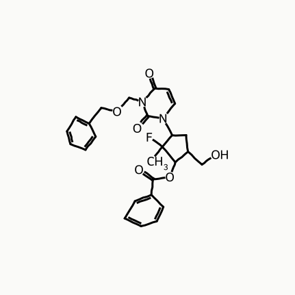 CC1(F)C(OC(=O)c2ccccc2)C(CO)CC1n1ccc(=O)n(COCc2ccccc2)c1=O